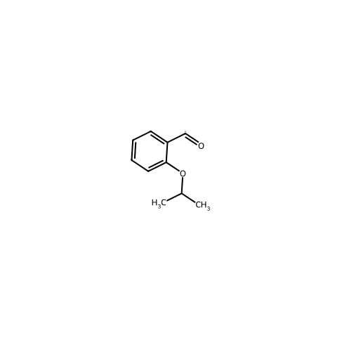 CC(C)Oc1ccccc1[C]=O